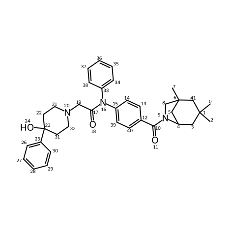 CC1(C)CC2CC(C)(CN2C(=O)c2ccc(N(C(=O)CN3CCC(O)(c4ccccc4)CC3)c3ccccc3)cc2)C1